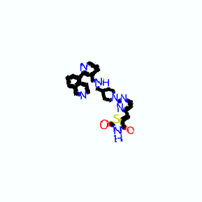 O=C1NC(=O)C(=Cc2ccnc(N3CCC(CNCc4cccnc4-c4cccc5cnccc45)CC3)n2)S1